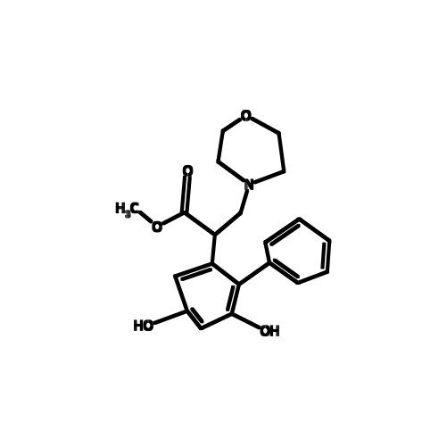 COC(=O)C(CN1CCOCC1)c1cc(O)cc(O)c1-c1ccccc1